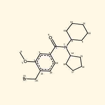 COc1cc(C(=O)N(C2CCCCC2)C2CCCC2)ccc1CBr